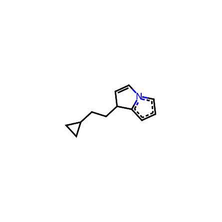 C1=Cn2cccc2C1CCC1CC1